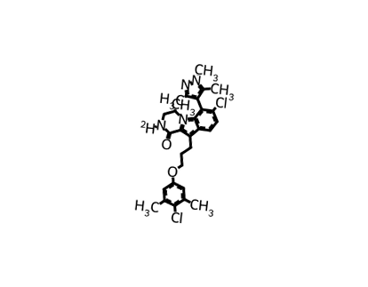 [2H]N1CC(C)n2c(c(CCCOc3cc(C)c(Cl)c(C)c3)c3ccc(Cl)c(-c4c(C)nn(C)c4C)c32)C1=O